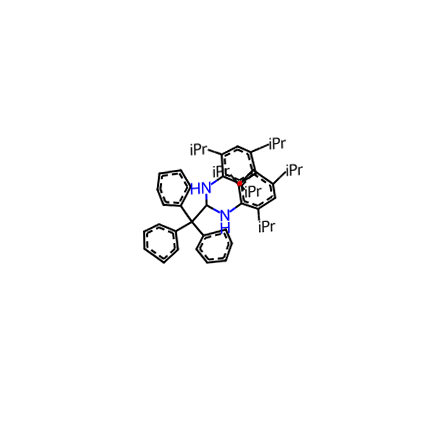 CC(C)c1cc(C(C)C)c(NC(Nc2c(C(C)C)cc(C(C)C)cc2C(C)C)C(c2ccccc2)(c2ccccc2)c2ccccc2)c(C(C)C)c1